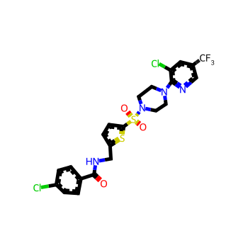 O=C(NCc1ccc(S(=O)(=O)N2CCN(c3ncc(C(F)(F)F)cc3Cl)CC2)s1)c1ccc(Cl)cc1